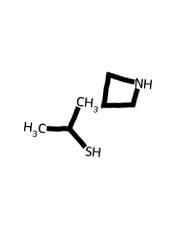 C1CNC1.CC(C)S